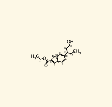 CCOC(=O)c1cc2ccc(C(CC)CCO)cc2s1